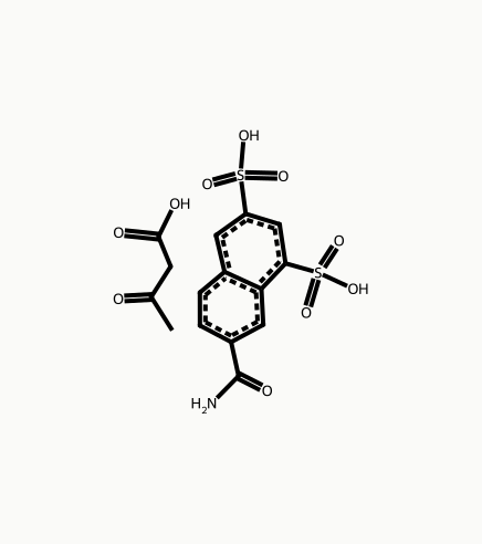 CC(=O)CC(=O)O.NC(=O)c1ccc2cc(S(=O)(=O)O)cc(S(=O)(=O)O)c2c1